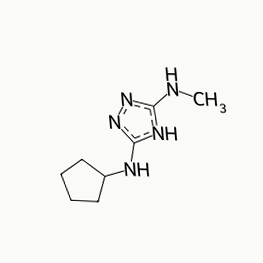 CNc1nnc(NC2CCCC2)[nH]1